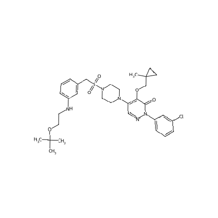 CC1(COc2c(N3CCN(S(=O)(=O)Cc4cccc(NCCOC(C)(C)C)c4)CC3)cnn(-c3cccc(Cl)c3)c2=O)CC1